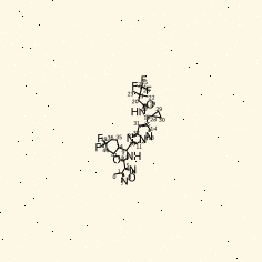 Cc1nonc1C(=O)N[C@H](c1cn2ncc([C@H](NC(=O)CC(C)(C)C(F)(F)F)C3CC3)cc2n1)C1CCC(F)(F)CC1